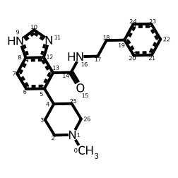 CN1CCC(c2ccc3[nH]cnc3c2C(=O)NCCc2ccccc2)CC1